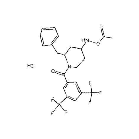 CC(=O)ONC1CCN(C(=O)c2cc(C(F)(F)F)cc(C(F)(F)F)c2)C(Cc2ccccc2)C1.Cl